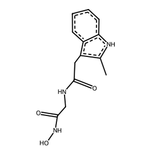 Cc1[nH]c2ccccc2c1CC(=O)NCC(=O)NO